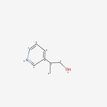 CC(CO)c1[c]nccc1